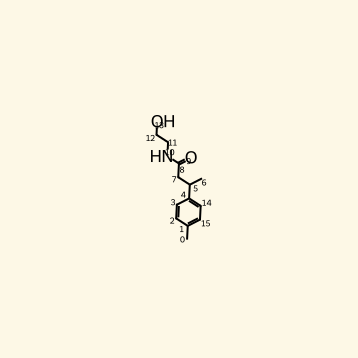 Cc1ccc(C(C)CC(=O)NCCO)cc1